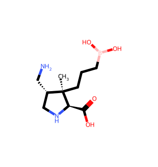 C[C@@]1(CCCB(O)O)[C@@H](CN)CN[C@@H]1C(=O)O